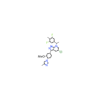 COc1cc(-c2nnc3n(C(C)c4cc(F)c(C)c(F)c4)cc(Cl)cc2-3)ccc1-n1cnc(C)c1